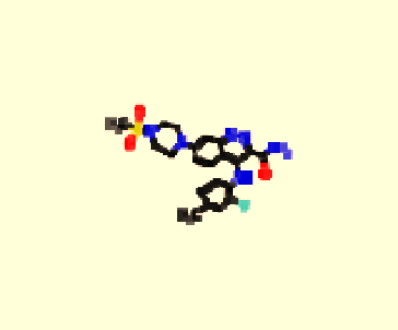 Cc1ccc(Nc2c(C(N)=O)nnc3cc(N4CCN(S(C)(=O)=O)CC4)ccc23)c(F)c1